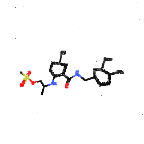 COc1ccc(CNC(=O)c2cc(C#N)ccc2N[C@@H](C)COS(C)(=O)=O)cc1OC